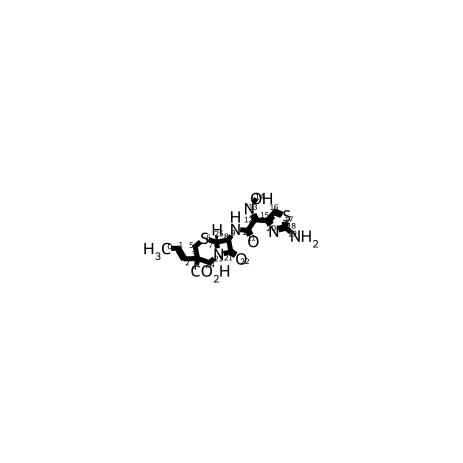 CC=CC1(C(=O)O)CS[C@@H]2C(NC(=O)C(=NO)c3csc(N)n3)C(=O)N2C1